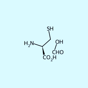 N[C@@H](CS)C(=O)O.O=CO